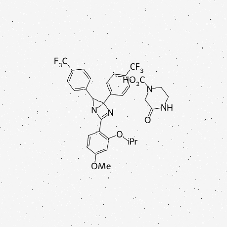 COc1ccc(C2=NC3(c4ccc(C(F)(F)F)cc4)C(c4ccc(C(F)(F)F)cc4)N23)c(OC(C)C)c1.O=C1CN(C(=O)O)CCN1